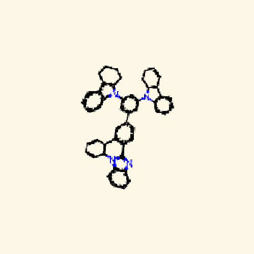 C1=CC2c3cc(-c4cc(N5c6ccccc6C6C=CCCC65)cc(-n5c6c(c7ccccc75)CCCC6)c4)ccc3-c3nc4ccccc4n3C2C=C1